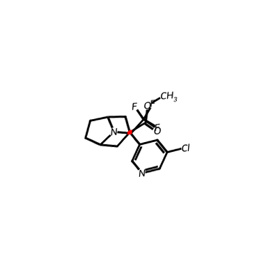 COC(=O)C1(c2cncc(Cl)c2)CC2CCC(C1)N2CC(F)(F)F